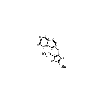 CC(C)(C)c1nc(Cc2ccc3ccccc3c2)c(C(=O)O)s1